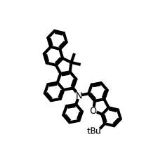 CC(C)(C)c1cccc2c1oc1c(N(c3ccccc3)c3cc4c(c5ccccc35)-c3ccc5ccccc5c3C4(C)C)cccc12